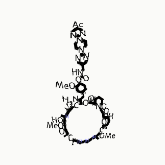 CO[C@H]1C[C@@H]2CC[C@@H](C)[C@@](O)(O2)C(=O)C(=O)N2CCCC[C@H]2C(=O)O[C@H]([C@H](N)C[C@@H]2CC[C@@H](OC(=O)NCc3cnc(N4CCN(c5ncc(C(C)=O)cn5)CC4)nc3)[C@H](OC)C2)CC(=O)[C@H](C)/C=C(\C)[C@@H](O)[C@@H](OC)C(=O)[C@H](C)C[C@H](C)/C=C/C=C/C=C/1C